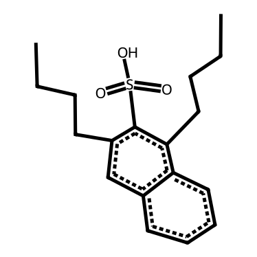 CCCCc1cc2ccccc2c(CCCC)c1S(=O)(=O)O